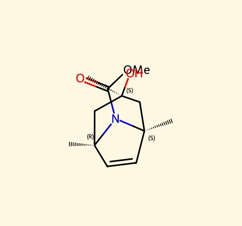 COC(=O)N1[C@@]2(C)C=C[C@]1(C)C[C@](C)(O)C2